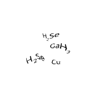 [Cu].[GaH3].[SeH2].[SeH2]